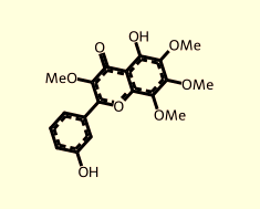 COc1c(OC)c(O)c2c(=O)c(OC)c(-c3cccc(O)c3)oc2c1OC